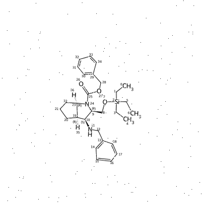 CC[Si](CC)(CC)OC[C@H]1[C@@H](NCc2ccccc2)[C@H]2CCC[C@H]2N1C(=O)OCc1ccccc1